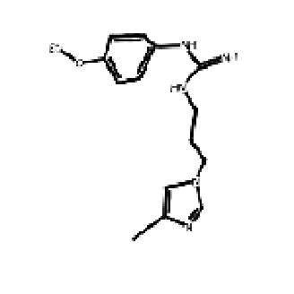 CCOc1ccc(NC(=N)NCCCn2cnc(C)c2)cc1